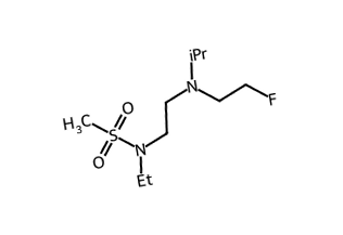 CCN(CCN(CCF)C(C)C)S(C)(=O)=O